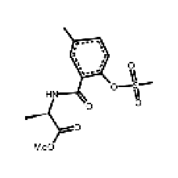 COC(=O)[C@@H](C)NC(=O)c1cc(C)ccc1OS(C)(=O)=O